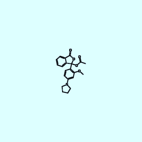 COc1cc(N2CCCC2)ccc1C1(OC(C)=O)OC(=O)c2ccccc21